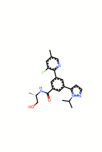 Cc1cnc(-c2cc(C(=O)N[C@@H](C)CO)cc(-c3ccnn3C(C)C)c2)c(F)c1